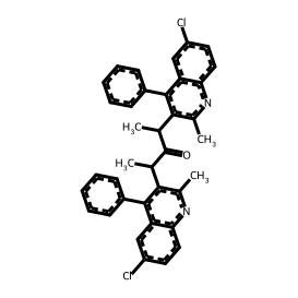 Cc1nc2ccc(Cl)cc2c(-c2ccccc2)c1C(C)C(=O)C(C)c1c(C)nc2ccc(Cl)cc2c1-c1ccccc1